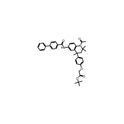 CC(=O)N1c2ccc(NC(=O)c3ccc(-c4ccccc4)cc3)cc2C(C)(c2ccc(OCC(=O)OC(C)(C)C)cc2)CC1(C)C